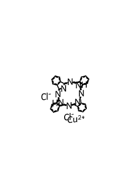 [Cl-].[Cl-].[Cu+2].c1ccc2c(c1)-c1nc-2nc2[nH]c(nc3nc(nc4[nH]c(n1)c1ccccc41)-c1ccccc1-3)c1ccccc21